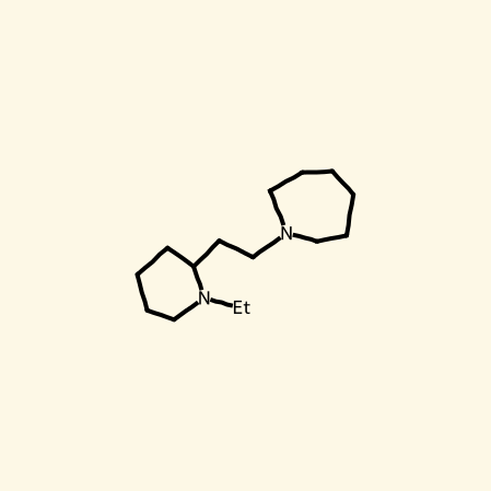 CCN1CCCCC1CCN1CCCCCC1